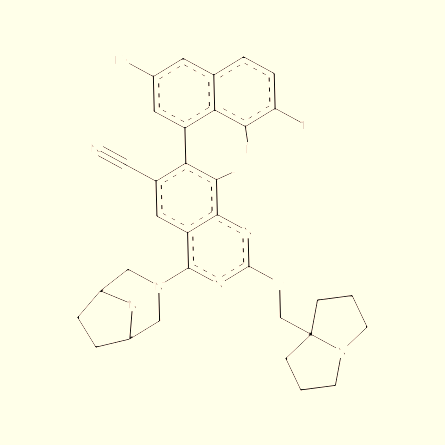 N#Cc1cc2c(N3CC4CCC(C3)N4)nc(OCC34CCCN3CCC4)nc2c(F)c1-c1cc(O)cc2ccc(F)c(F)c12